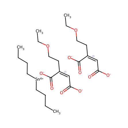 CCC[CH2][Sn+4][CH2]CCC.CCOCC/C(=C/C(=O)[O-])C(=O)[O-].CCOCC/C(=C/C(=O)[O-])C(=O)[O-]